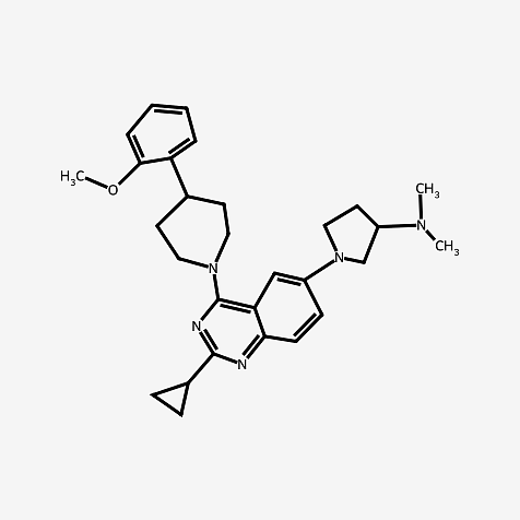 COc1ccccc1C1CCN(c2nc(C3CC3)nc3ccc(N4CCC(N(C)C)C4)cc23)CC1